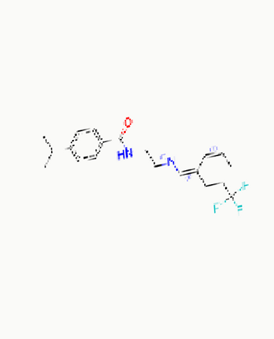 C\C=C/C(=C\N=C\CNC(=O)c1ccc(C(C)C)cc1)CCC(F)(F)F